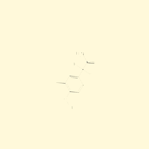 Cc1cc(C(F)(F)C(N)=O)ccc1OC(F)(F)F